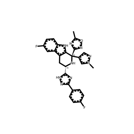 Cc1nc([C@@]2(c3cnn(C)c3)N[C@H](c3nc(-c4ccc(F)cc4)n[nH]3)Cc3c2[nH]c2ccc(F)cc32)no1